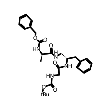 C[C@@H](NC(=O)OCc1ccccc1)C(=O)NC[C@H](Cc1ccccc1)NC(=O)CNC(=O)OC(C)(C)C